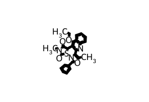 CCOc1c(C2SC(=O)N(C)C2=O)c(-c2nc(-c3ccccc3)oc2C)nc2ccccc12